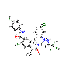 CC(C(=O)N(C)c1cc(C(F)(F)F)nn1-c1cccc(Cl)c1)c1ccc(C(=O)Nc2ccc(F)cc2)c(F)c1